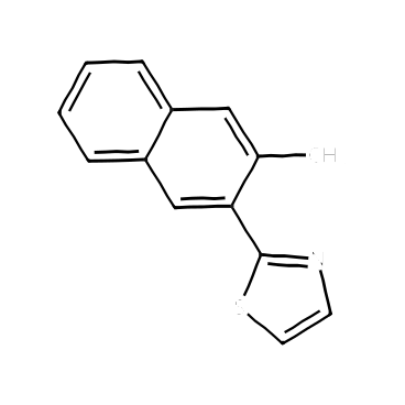 Cc1cc2ccccc2cc1-c1nccs1